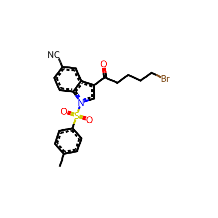 Cc1ccc(S(=O)(=O)n2cc(C(=O)CCCCBr)c3cc(C#N)ccc32)cc1